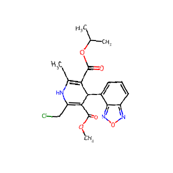 COC(=O)C1=C(CCl)NC(C)=C(C(=O)OC(C)C)C1c1cccc2nonc12